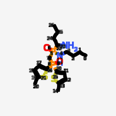 CCCCNP(=O)(CP(=O)(c1ccc(C)s1)c1ccc(C)s1)C(N)CCC